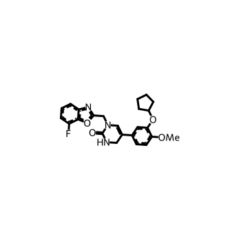 COc1ccc(C2=CN(Cc3nc4cccc(F)c4o3)C(=O)NC2)cc1OC1CCCC1